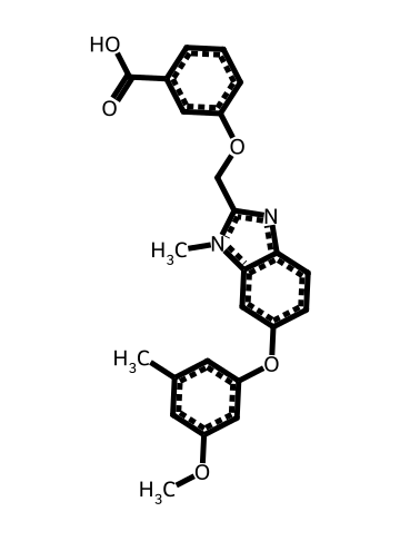 COc1cc(C)cc(Oc2ccc3nc(COc4cccc(C(=O)O)c4)n(C)c3c2)c1